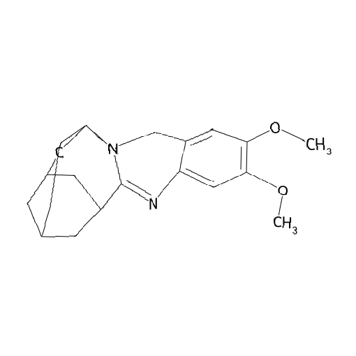 COc1cc2c(cc1OC)N=C1C3CC4CC(C3)CC(C4)N1C2